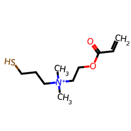 C=CC(=O)OCC[N+](C)(C)CCCS